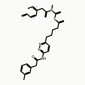 C=C/C=C\C(=C/C)CC(=C)N(C)C(=C)SC(=C)CCCCc1ccc(NC(=O)Cc2cccc(C)c2)nn1